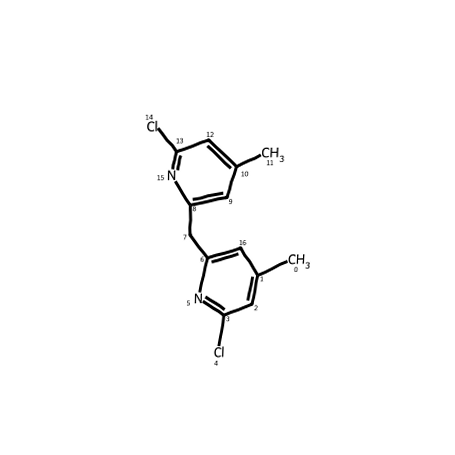 Cc1cc(Cl)nc(Cc2cc(C)cc(Cl)n2)c1